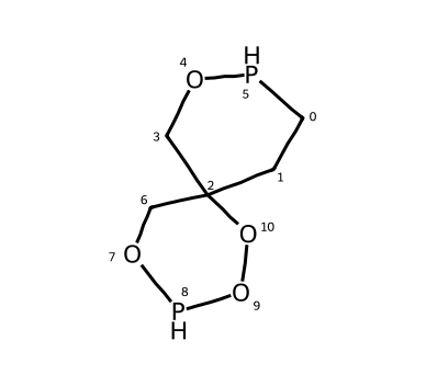 C1CC2(COP1)COPOO2